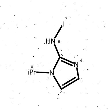 CC(C)n1ccnc1NI